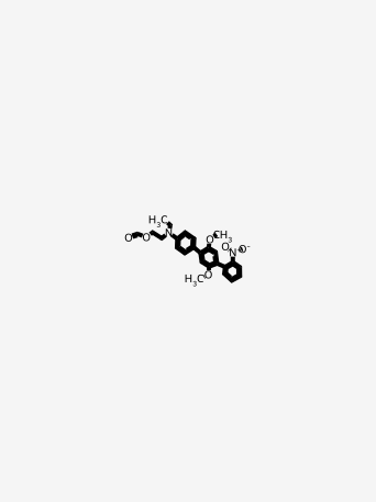 CCN(CCOC=O)c1ccc(-c2cc(OC)c(-c3ccccc3[N+](=O)[O-])cc2OC)cc1